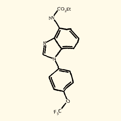 CCOC(=O)Nc1cccc2c1ncn2-c1ccc(OC(F)(F)F)cc1